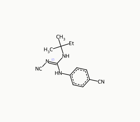 CCC(C)(C)N/C(=N/C#N)Nc1ccc(C#N)cc1